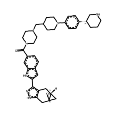 C[C@@]12Cc3[nH]nc(-c4cc5ccc(C(=O)N6CCN(CC7CCN(c8ccc([C@H]9CCCNC9)cc8)CC7)CC6)cc5[nH]4)c3C[C@@H]1C2